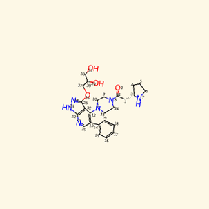 O=C(C[C@@H]1CCCN1)N1CCN(c2c(-c3ccccc3)cnc3[nH]nc(OC[C@H](O)CO)c23)CC1